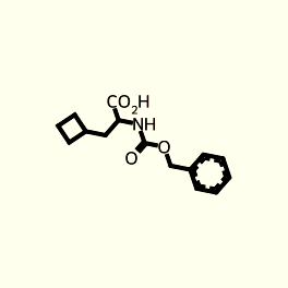 O=C(NC(CC1CCC1)C(=O)O)OCc1ccccc1